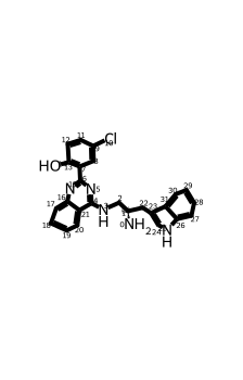 N[C@H](CNc1nc(-c2cc(Cl)ccc2O)nc2ccccc12)Cc1c[nH]c2ccccc12